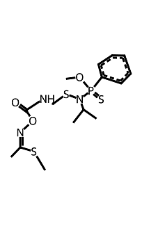 COP(=S)(c1ccccc1)N(SCNC(=O)ON=C(C)SC)C(C)C